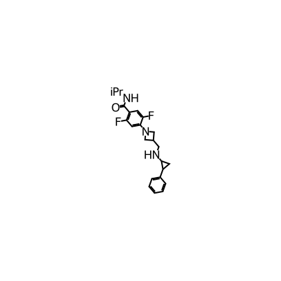 CC(C)NC(=O)c1cc(F)c(N2CC(CNC3CC3c3ccccc3)C2)cc1F